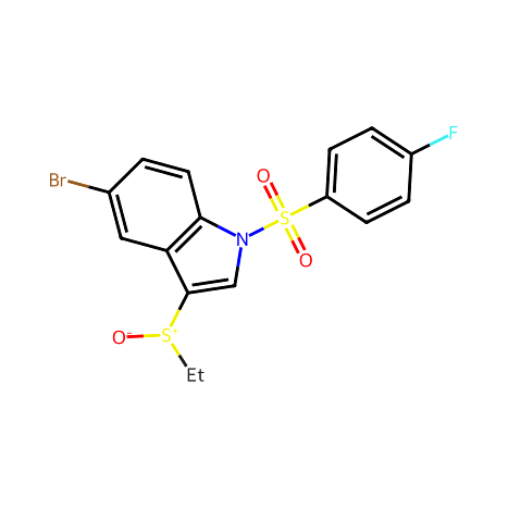 [CH2]C[S+]([O-])c1cn(S(=O)(=O)c2ccc(F)cc2)c2ccc(Br)cc12